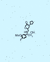 COc1cc([C@@H](C)NCC2CN(C3CCCC3)C(=O)CO2)ccc1F.Cl